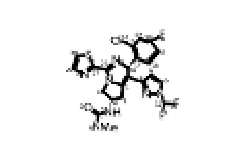 CNC(=O)N[C@H]1CC2=C(c3ccn(C(F)F)n3)[C@H](c3ccc(F)cc3Cl)N=C(c3nccs3)N2C1